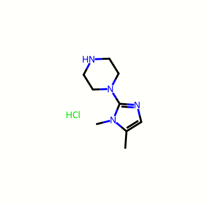 Cc1cnc(N2CCNCC2)n1C.Cl